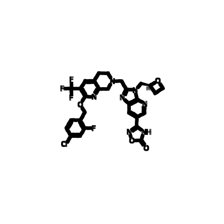 O=c1[nH]c(-c2cnc3c(c2)nc(CN2CCc4cc(C(F)(F)F)c(OCc5ccc(Cl)cc5F)nc4C2)n3C[C@@H]2CCO2)no1